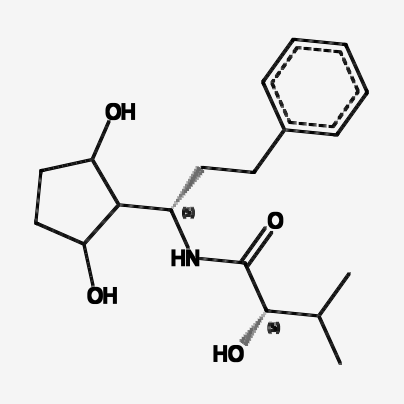 CC(C)[C@H](O)C(=O)N[C@@H](CCc1ccccc1)C1C(O)CCC1O